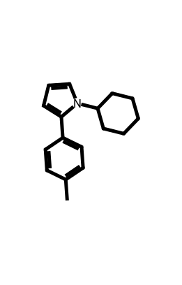 Cc1ccc(-c2cccn2C2CCCCC2)cc1